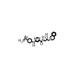 CC(=O)N(C)[C@H]1CC[C@@H](Nc2cc(C(=O)NCC(O)CN3CCc4ccccc4C3)ncn2)CC1